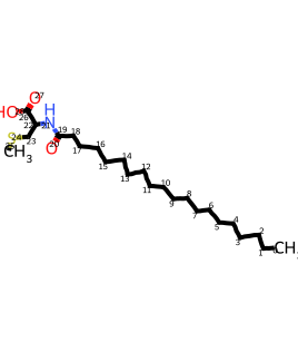 CCCCCCCCCCCCCCCCCCCC(=O)NC(CSC)C(=O)O